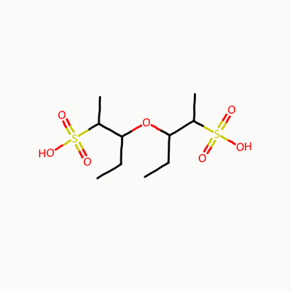 CCC(OC(CC)C(C)S(=O)(=O)O)C(C)S(=O)(=O)O